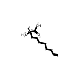 C=CCCCCCC[C@](C)(N)C(=O)O